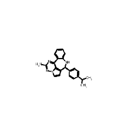 CC(C)c1ccc(C2Nc3ccccc3-c3nc(N)nn4ccc2c34)cc1